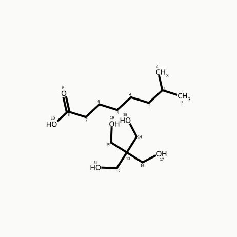 CC(C)CCCCCC(=O)O.OCC(CO)(CO)CO